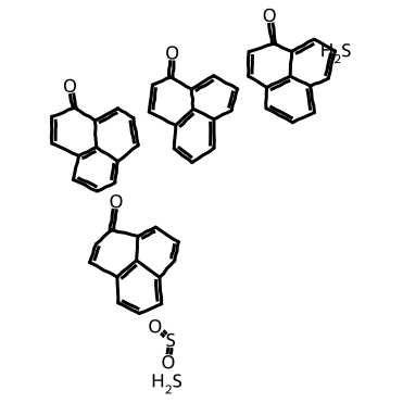 O=C1C=Cc2cccc3cccc1c23.O=C1C=Cc2cccc3cccc1c23.O=C1C=Cc2cccc3cccc1c23.O=C1C=Cc2cccc3cccc1c23.O=S=O.S.S